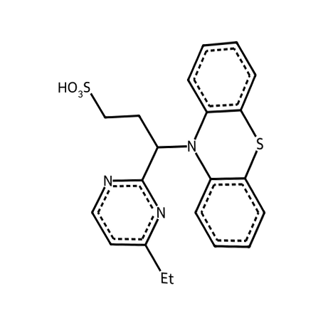 CCc1ccnc(C(CCS(=O)(=O)O)N2c3ccccc3Sc3ccccc32)n1